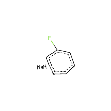 Fc1ccccc1.[NaH]